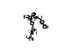 O=C(O)CCNC(=O)NCCC1CCN(c2cc(N3CCC[C@H]3C(=O)NCCc3ccc(-c4cccnc4)cc3)nc(C(F)(F)F)n2)CC1